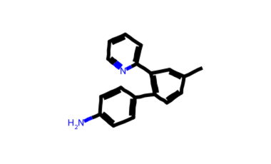 Cc1ccc(-c2ccc(N)cc2)c(-c2ccccn2)c1